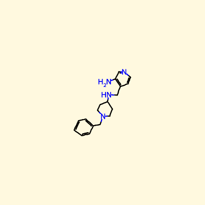 Nc1cnccc1CNC1CCN(Cc2ccccc2)CC1